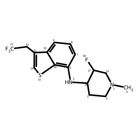 CN1CCC(Nc2cccc3c(CC(F)(F)F)csc23)C(F)C1